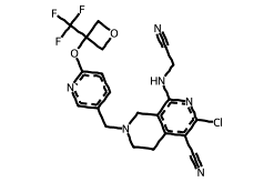 N#CCNc1nc(Cl)c(C#N)c2c1CN(Cc1ccc(OC3(C(F)(F)F)COC3)nc1)CC2